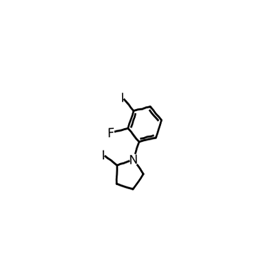 Fc1c(I)cccc1N1CCCC1I